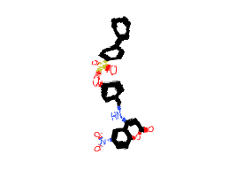 O=c1cc(NCc2ccc(OS(=O)(=O)c3ccc(-c4ccccc4)cc3)cc2)c2cc([N+](=O)[O-])ccc2o1